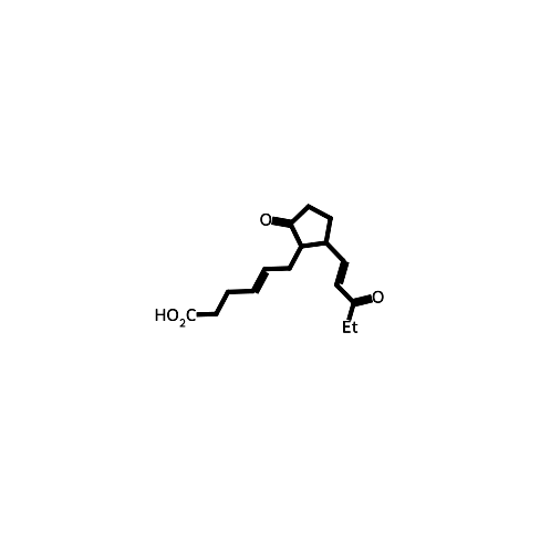 CCC(=O)C=CC1CCC(=O)C1CC=CCCC(=O)O